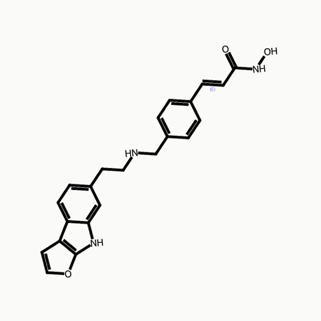 O=C(/C=C/c1ccc(CNCCc2ccc3c(c2)[nH]c2occc23)cc1)NO